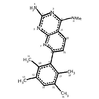 CNc1nc(N)nc2nc(-c3c(C)c(C)cc(C)c3C)ccc12